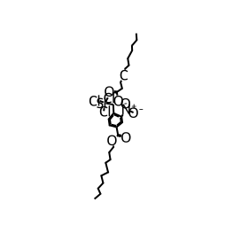 CCCCCCCCCCOC(=O)c1ccc(C(OC(=O)CCCCCCCCCC)[Si](Cl)(Cl)Cl)c([N+](=O)[O-])c1